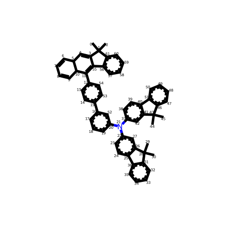 CC1(C)C2=CC3C=CC=CC3C(c3ccc(-c4cccc(N(c5ccc6c(c5)C(C)(C)c5ccccc5-6)c5ccc6c(c5)C(C)(C)c5ccccc5-6)c4)cc3)=C2c2ccccc21